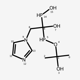 CC(C)(O)OPC(O)(Cn1ccnc1)PO